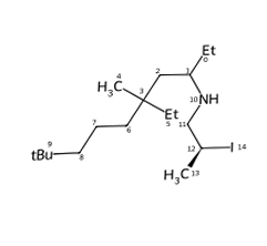 CCC(CC(C)(CC)CCCC(C)(C)C)NC[C@H](C)I